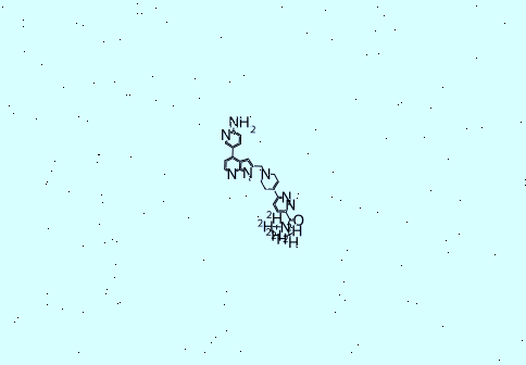 [2H]C([2H])([2H])N(C(=O)c1ccc(C2=CCN(Cc3cc4c(-c5ccc(N)nc5)ccnc4n3C)CC2)nn1)C([2H])([2H])[2H]